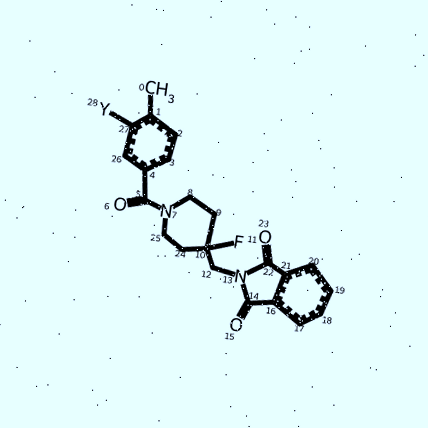 Cc1ccc(C(=O)N2CCC(F)(CN3C(=O)c4ccccc4C3=O)CC2)c[c]1[Y]